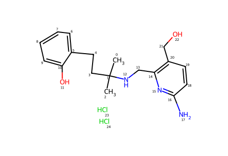 CC(C)(CCc1ccccc1O)NCc1nc(N)ccc1CO.Cl.Cl